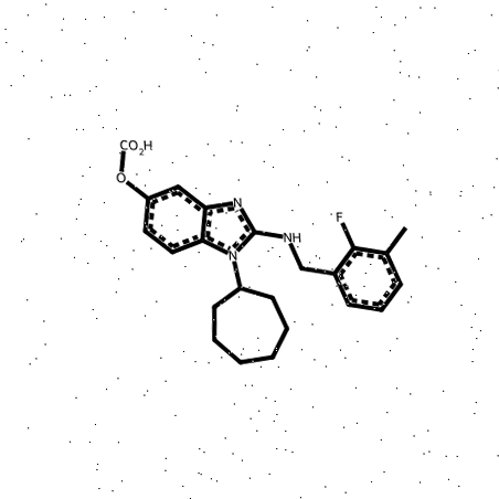 Cc1cccc(CNc2nc3cc(OC(=O)O)ccc3n2C2CCCCCC2)c1F